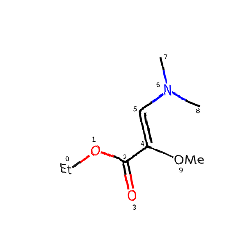 CCOC(=O)C(=CN(C)C)OC